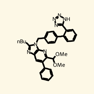 CCCCc1nc2cc(-c3ccccc3)c(C(OC)OC)nc2n1Cc1ccc(-c2ccccc2-c2nnn[nH]2)cc1